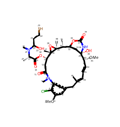 COc1cc2cc(c1Cl)N(C)C(=O)C[C@H](OC(=O)[C@H](C)N(C)C(O)CCS)[C@]1(C)O[C@H]1[C@H](C)C1C[C@@](O)(NC(=O)O1)[C@H](OC)/C=C/C=C(\C)C2